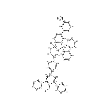 CCc1c(-c2ccccc2)nc(-c2ccc(C3=CC4C(C)(C=C3)c3ccc(-c5cccc(N)c5)cc3C4(c3ccccc3)c3ccccc3)cc2)nc1-c1ccccc1